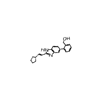 OCc1ccccc1-c1ccc2[nH]c(C=CC3CCCC3)nc2c1